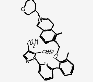 COc1c(C(=O)O)cnn1-c1cccc(-c2cccc(C)c2OCc2ccc3c(c2C)CCN([C@@H]2CCCOC2)C3)n1